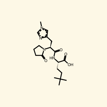 Cn1cnc(C[C@@H](C(=O)N[C@@H](CCC(C)(C)C)C(=O)O)N2CCCC2=O)c1